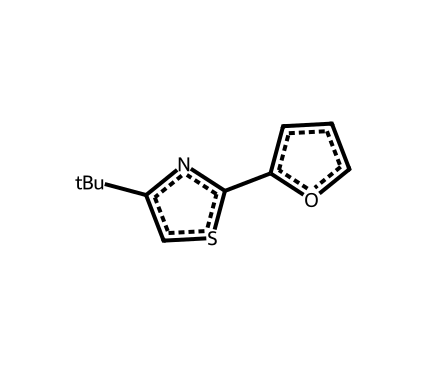 CC(C)(C)c1csc(-c2ccco2)n1